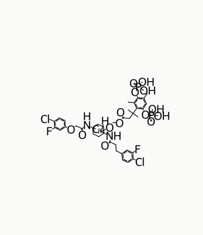 Cc1cc(OP(=O)(O)O)c(C(C)(C)CC(=O)OCO[C@H]2CC3(NC(=O)COc4ccc(Cl)c(F)c4)CCC2(NC(=O)CCc2ccc(Cl)c(F)c2)CC3)c(C)c1OP(=O)(O)O